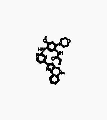 C=CC(=O)Nc1cc(Nc2nccc(-c3cc4n(n3)-c3ccccc3N(C)C4)n2)c(OC)cc1N1CCOCC1